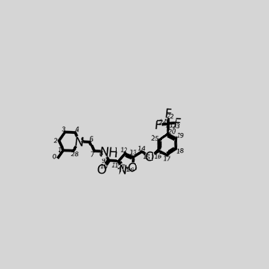 CC1CCCN(CCNC(=O)c2cc(COc3cccc(C(F)(F)F)c3)on2)C1